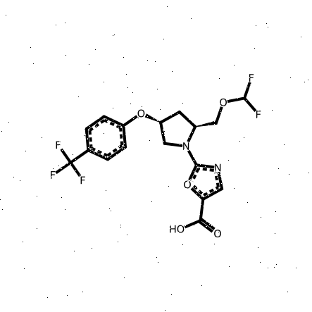 O=C(O)c1cnc(N2C[C@@H](Oc3ccc(C(F)(F)F)cc3)C[C@H]2COC(F)F)o1